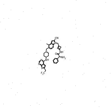 Cc1c(CN2CCC(Nc3ncnc4sc(CC(F)(F)F)cc34)CC2)ccc2c1cc(C#N)n2CC12CC(NC(=O)C(N)c3ccccc3)(C1)C2